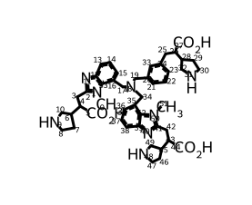 Cn1c(CC(C(=O)O)C2CCNC2)nc2cccc(CN(Cc3cccc(CC(C(=O)O)C4CCNC4)c3)Cc3cccc4nc(CC(C(=O)O)C5CCNC5)n(C)c34)c21